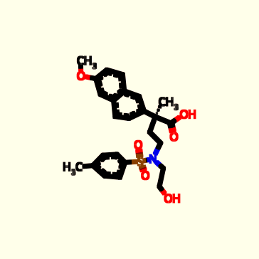 COc1ccc2cc([C@](C)(CCN(CCO)S(=O)(=O)c3ccc(C)cc3)C(=O)O)ccc2c1